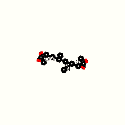 c1ccc2c(c1)Oc1c(-c3ccc4c5ccc(-c6ccc(-c7ccc(-c8cccc9c8Oc8ccccc8C98c9ccccc9-c9ccccc98)nn7)c7ccccc67)cc5n5c6ccccc6nc5c4c3)cccc1C21c2ccccc2-c2ccccc21